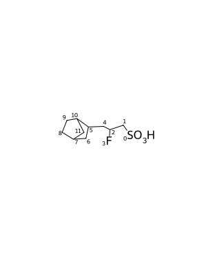 O=S(=O)(O)CC(F)CC1CC2CCC1C2